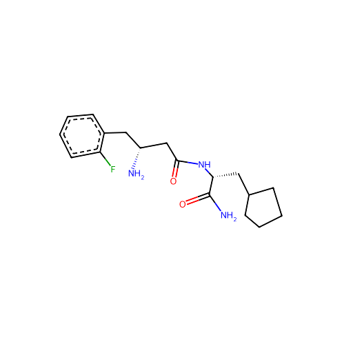 NC(=O)[C@@H](CC1CCCC1)NC(=O)C[C@H](N)Cc1ccccc1F